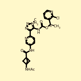 CC(=O)NC12CC(C(=O)Nc3ccc(-c4nnn(C)c4NC(=O)O[C@H](C)c4cccnc4Cl)nc3)(C1)C2